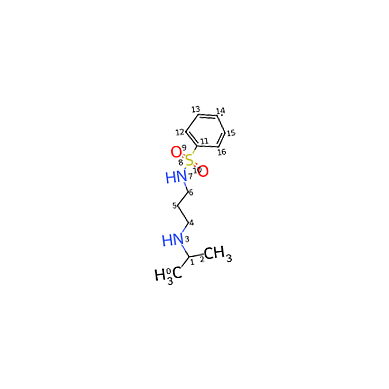 CC(C)NCCCNS(=O)(=O)c1cc[c]cc1